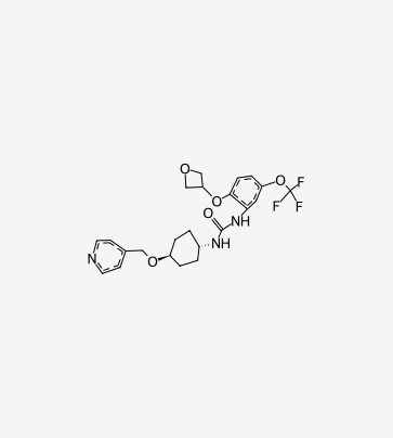 O=C(Nc1cc(OC(F)(F)F)ccc1OC1COC1)N[C@H]1CC[C@H](OCc2ccncc2)CC1